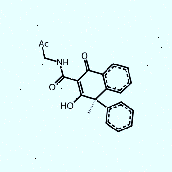 CC(=O)CNC(=O)C1=C(O)[C@](C)(c2ccccc2)c2ccccc2C1=O